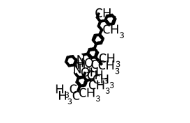 CCC(CC(C)c1ccc(-c2cc(/C=N/[C@@H]3CCCC[C@H]3/N=C/c3cc(C(C)(C)C)cc(C(C)(C)C)c3O)c(O)c(C(C)(C)C)c2)cc1)c1ccccc1